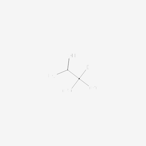 CCCCC(CC)(CCC)C(O)O